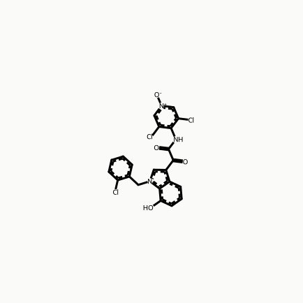 O=C(Nc1c(Cl)c[n+]([O-])cc1Cl)C(=O)c1cn(Cc2ccccc2Cl)c2c(O)cccc12